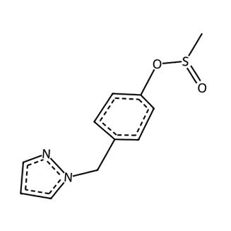 CS(=O)Oc1ccc(Cn2cccn2)cc1